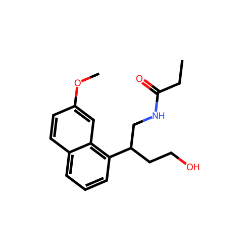 CCC(=O)NCC(CCO)c1cccc2ccc(OC)cc12